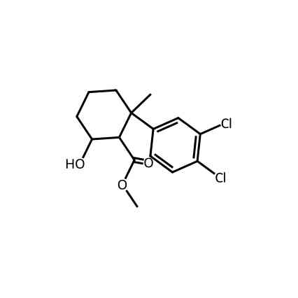 COC(=O)C1C(O)CCCC1(C)c1ccc(Cl)c(Cl)c1